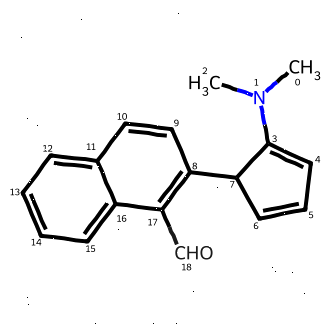 CN(C)C1=CC=CC1c1ccc2ccccc2c1C=O